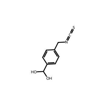 OC(O)c1ccc(CN=C=S)cc1